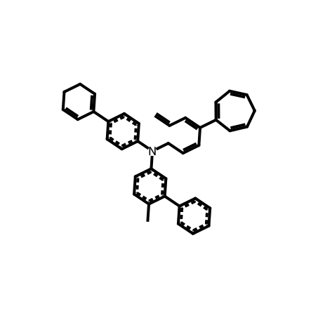 C=C/C=C(\C=C/CN(c1ccc(C2=CCCC=C2)cc1)c1ccc(C)c(-c2ccccc2)c1)C1=CC=CCC=C1